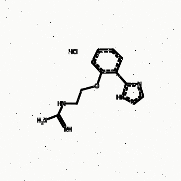 Cl.N=C(N)NCCOc1ccccc1-c1ncc[nH]1